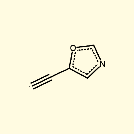 [C]#Cc1cnco1